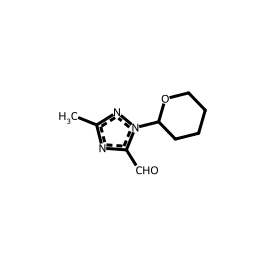 Cc1nc(C=O)n(C2CCCCO2)n1